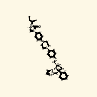 CCC(C)n1ncn(-c2ccc(N3CCN(c4ccc(OC[C@H]5OC[C@](Cn6nccn6)(c6ccccc6)O5)cc4)CC3)cc2)c1=O